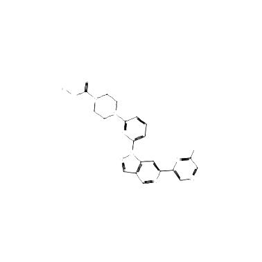 Cc1cncc(-c2cc3c(cn2)cnn3-c2cccc(N3CCN(C(=O)OC(C)(C)C)CC3)n2)n1